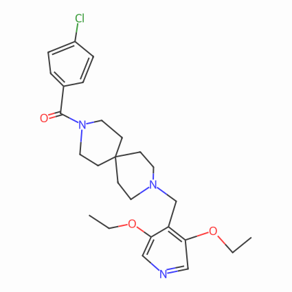 CCOc1cncc(OCC)c1CN1CCC2(CC1)CCN(C(=O)c1ccc(Cl)cc1)CC2